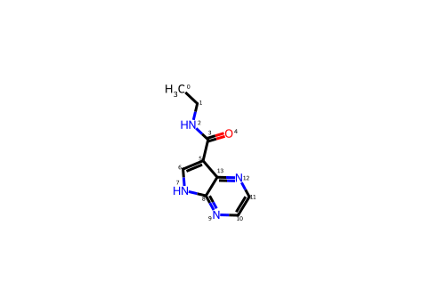 CCNC(=O)c1c[nH]c2nccnc12